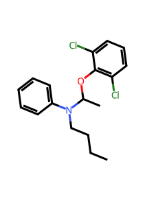 CCCCN(c1ccccc1)C(C)Oc1c(Cl)cccc1Cl